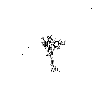 Cc1sc2c(c1C)C(c1ccc(Cl)cc1)=N[C@@H](CC(=O)NCC#CCCN)c1nnc(C)n1-2